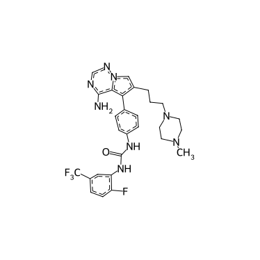 CN1CCN(CCCc2cn3ncnc(N)c3c2-c2ccc(NC(=O)Nc3cc(C(F)(F)F)ccc3F)cc2)CC1